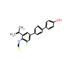 C=C(C)c1cc(-c2ccc(-c3ccc(O)cc3)cc2)cc(F)c1N=C=S